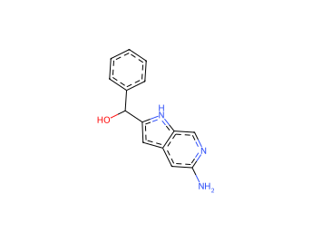 Nc1cc2cc(C(O)c3ccccc3)[nH]c2cn1